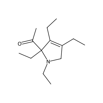 CCC1=C(CC)C(CC)(C(C)=O)N(CC)C1